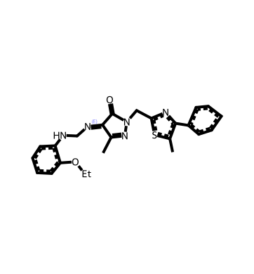 CCOc1ccccc1NC/N=C1/C(=O)N(Cc2nc(-c3ccccc3)c(C)s2)N=C1C